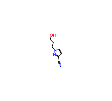 N#Cc1ccn(CCCO)n1